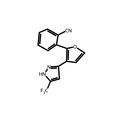 N#Cc1ccccc1-c1occc1-c1cc(C(F)(F)F)[nH]n1